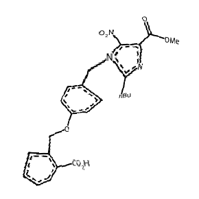 CCCCc1nc(C(=O)OC)c([N+](=O)[O-])n1Cc1ccc(OCc2ccccc2C(=O)O)cc1